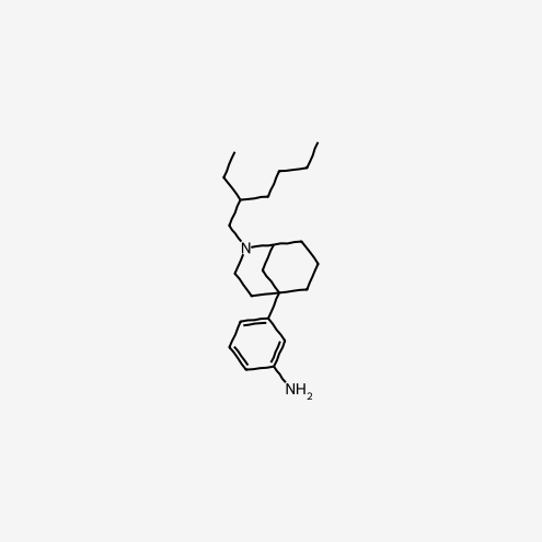 CCCCC(CC)CN1CCC2(c3cccc(N)c3)CCCC1C2